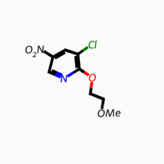 COCCOc1ncc([N+](=O)[O-])cc1Cl